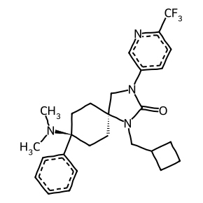 CN(C)[C@]1(c2ccccc2)CC[C@]2(CC1)CN(c1ccc(C(F)(F)F)nc1)C(=O)N2CC1CCC1